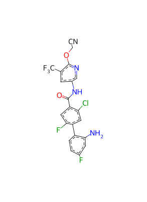 N#CCOc1ncc(NC(=O)c2cc(F)c(-c3ccc(F)cc3N)cc2Cl)cc1C(F)(F)F